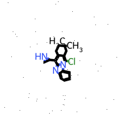 CC1(C)CCc2c(c(Cl)n3c(nc4ccccc43)c2C2CN2)C1